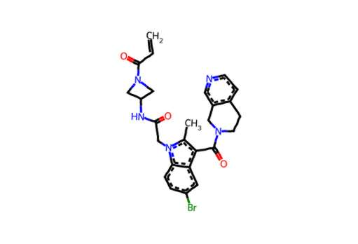 C=CC(=O)N1CC(NC(=O)Cn2c(C)c(C(=O)N3CCc4ccncc4C3)c3cc(Br)ccc32)C1